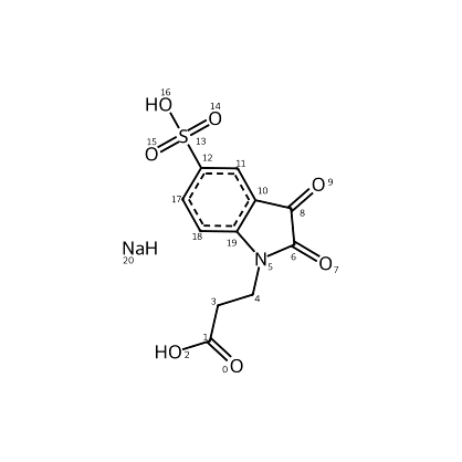 O=C(O)CCN1C(=O)C(=O)c2cc(S(=O)(=O)O)ccc21.[NaH]